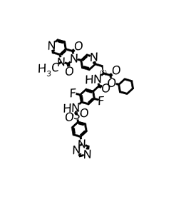 Cn1c(=O)n(-c2ccc(C[C@H](NC(=O)c3cc(F)c(NS(=O)(=O)c4ccc(-n5cncn5)cc4)cc3F)C(=O)OC3CCCCC3)nc2)c(=O)c2ccncc21